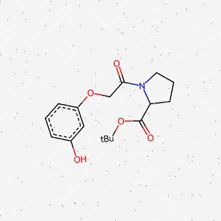 CC(C)(C)OC(=O)C1CCCN1C(=O)COc1cccc(O)c1